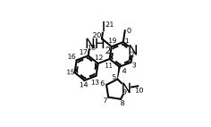 Cc1ncc([C@@H]2CCCN2C)c(-c2ccccc2N)c1CI